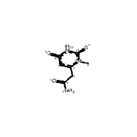 Cn1c(CC(N)=O)cc(=O)[nH]c1=O